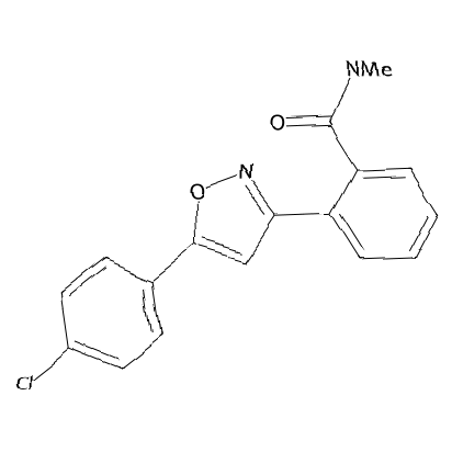 CNC(=O)c1ccccc1-c1cc(-c2ccc(Cl)cc2)on1